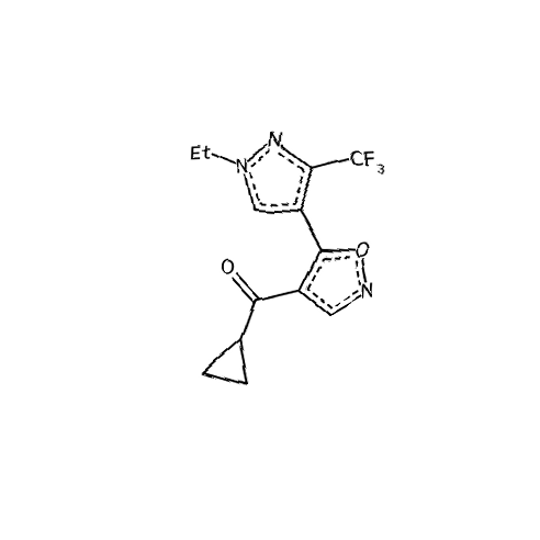 CCn1cc(-c2oncc2C(=O)C2CC2)c(C(F)(F)F)n1